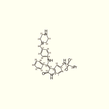 CC(C)S(=O)(=O)Nc1ccc2c(c1)C(=C(Nc1ccc(CN3CCNCC3)cc1)c1ccccc1)C(=O)N2